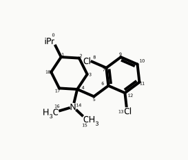 CC(C)C1CCC(Cc2c(Cl)cccc2Cl)(N(C)C)CC1